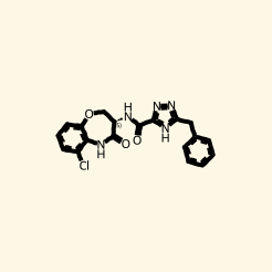 O=C(N[C@H]1COc2cccc(Cl)c2NC1=O)c1nnc(Cc2ccccc2)[nH]1